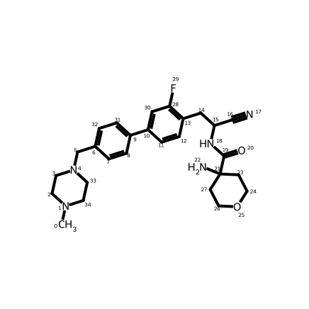 CN1CCN(Cc2ccc(-c3ccc(CC(C#N)NC(=O)C4(N)CCOCC4)c(F)c3)cc2)CC1